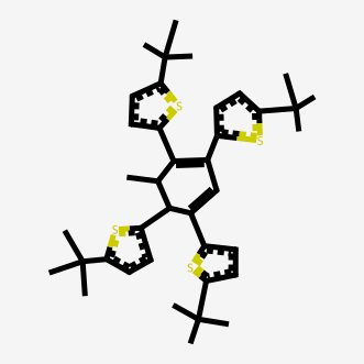 CC1C(c2ccc(C(C)(C)C)s2)=C(c2ccc(C(C)(C)C)s2)C=C(c2ccc(C(C)(C)C)s2)C1c1ccc(C(C)(C)C)s1